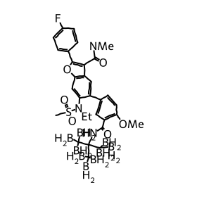 BC(B)(B)C(NC(=O)c1cc(-c2cc3c(C(=O)NC)c(-c4ccc(F)cc4)oc3cc2N(CC)S(C)(=O)=O)ccc1OC)(C(B)(B)B)C(B)(B)B